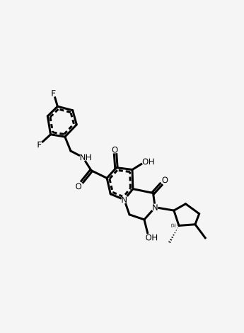 CC1CCC(N2C(=O)c3c(O)c(=O)c(C(=O)NCc4ccc(F)cc4F)cn3CC2O)[C@H]1C